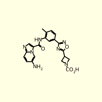 Cc1ccc(-c2noc(C3CN(C(=O)O)C3)n2)cc1NC(=O)c1cnc2ccc(N)cn12